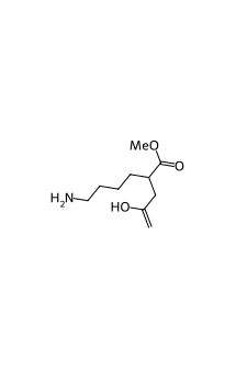 C=C(O)CC(CCCCN)C(=O)OC